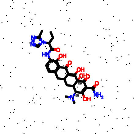 CCC(C(=O)Nc1ccc2c(c1O)C(=O)C1=C(O)[C@]3(O)C(=O)C(C(N)=O)=C(O)[C@@H](N(C)C)C3CC1C2)n1cnnc1C